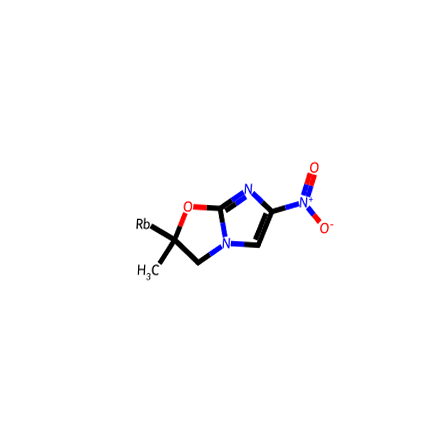 C[C]1([Rb])Cn2cc([N+](=O)[O-])nc2O1